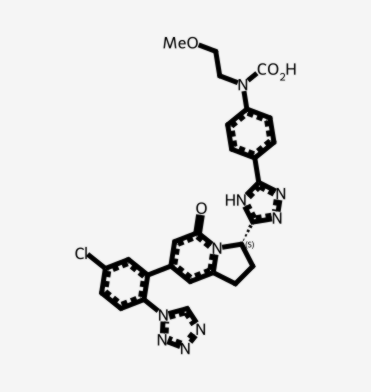 COCCN(C(=O)O)c1ccc(-c2nnc([C@@H]3CCc4cc(-c5cc(Cl)ccc5-n5cnnn5)cc(=O)n43)[nH]2)cc1